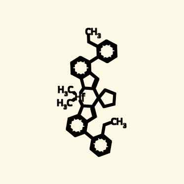 CCc1ccccc1-c1cccc2c1C=C1[CH]2[Hf]([CH3])([CH3])[CH]2C(=Cc3c(-c4ccccc4CC)cccc32)C12CCCC2